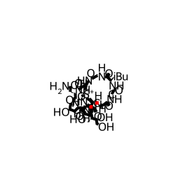 CC[C@H](C)[C@@H]1NC(=O)CNC(=O)[C@H]2Cc3c([nH]c4cc(O)ccc34)[S+]([O-])C[C@H](NC(=O)CNC1=O)C(=O)N[C@@H](CC(N)=O)C(=O)N1C[C@H](O)C[C@H]1C(=O)N[C@@H]([C@@H](C)[C@@H](O)CO)C(=O)N2